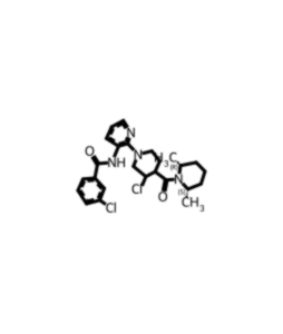 C[C@@H]1CCC[C@H](C)N1C(=O)C1CCN(c2ncccc2NC(=O)c2cccc(Cl)c2)CC1Cl